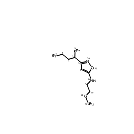 CCCC(CCC(C)C)c1cc(NCCOC(C)(C)C)on1